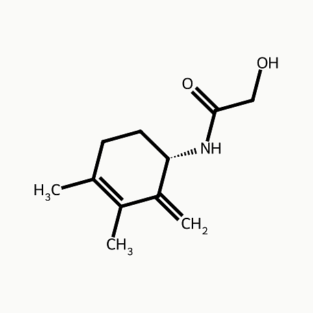 C=C1C(C)=C(C)CC[C@@H]1NC(=O)CO